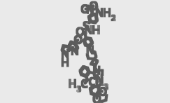 CC(C)c1ccccc1C1CN(Cc2cccc3c2OCCCO3)CCN1C1CC2(CCN(c3ccc(C(=O)NSc4ccc(N)c([N+](=O)[O-])c4)c(Oc4cnc5[nH]ccc5c4)c3)CC2)C1